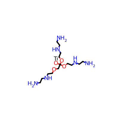 NCCNCCOCC([O][Ti])(OCCNCCN)OCCNCCN